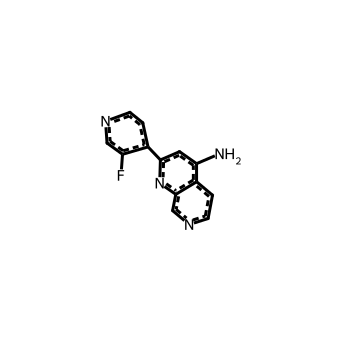 Nc1cc(-c2ccncc2F)nc2cnccc12